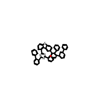 c1ccc(-c2cccc(-c3cccc(-c4ccc5sc6cccc(-c7nc(-c8ccccc8)nc(-c8ccccc8-c8ccccc8)n7)c6c5c4)c3-c3ccccc3)c2)cc1